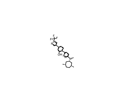 C[C@@H]1CC[C@H](C)C[C@@H](N(C)c2ccc(-c3ccc(-c4cnn(C(F)(F)F)c4)cc3O)nn2)C1